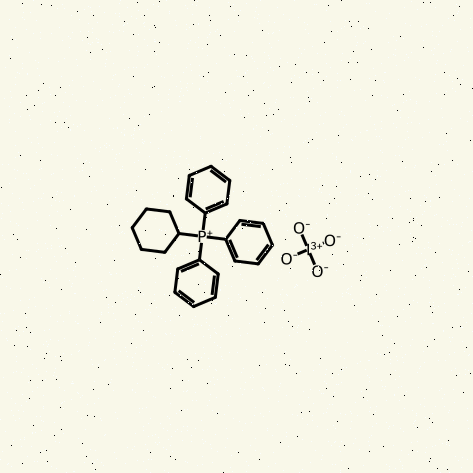 [O-][I+3]([O-])([O-])[O-].c1ccc([P+](c2ccccc2)(c2ccccc2)C2CCCCC2)cc1